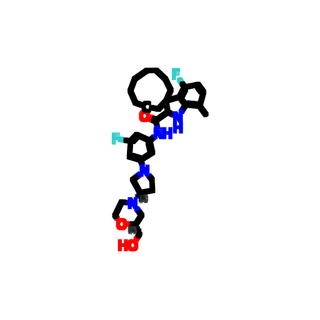 Cc1ccc(F)c2c1NC(C(=O)Nc1cc(F)cc(N3CC[C@H](N4CCO[C@@H](CO)C4)C3)c1)C21CCCCCCCCC1